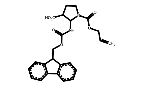 C=CCOC(=O)N1CCC(C(=O)O)C1NC(=O)OCC1c2ccccc2-c2ccccc21